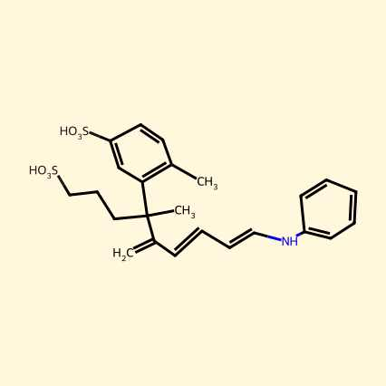 C=C(/C=C/C=C/Nc1ccccc1)C(C)(CCCS(=O)(=O)O)c1cc(S(=O)(=O)O)ccc1C